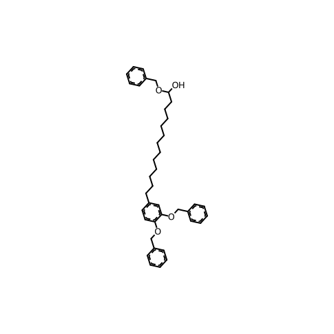 OC(CCCCCCCCCCCCc1ccc(OCc2ccccc2)c(OCc2ccccc2)c1)OCc1ccccc1